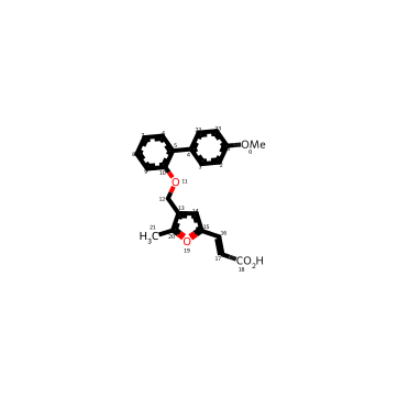 COc1ccc(-c2ccccc2OCc2cc(C=CC(=O)O)oc2C)cc1